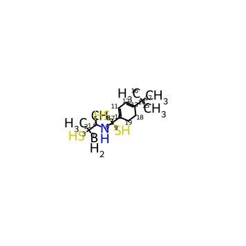 BC(C)(S)C(C)NC(S)(S)C1=CC=C(C(C)(C)C)CC1